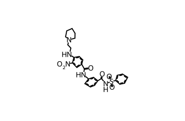 O=C(Nc1cccc(C(=O)NS(=O)(=O)c2ccccc2)c1)c1ccc(NCCN2CCCCC2)c([N+](=O)[O-])c1